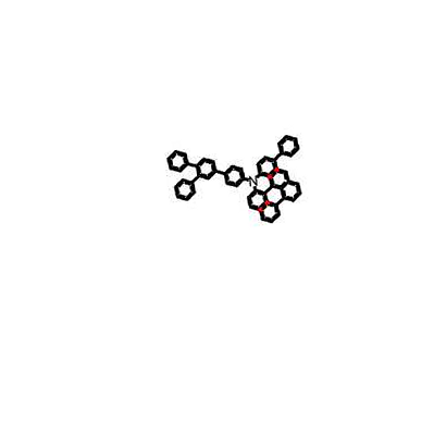 c1ccc(-c2ccc(N(c3ccc(-c4ccc(-c5ccccc5)c(-c5ccccc5)c4)cc3)c3ccccc3-c3cccc4cccc(-c5ccccc5)c34)cc2)cc1